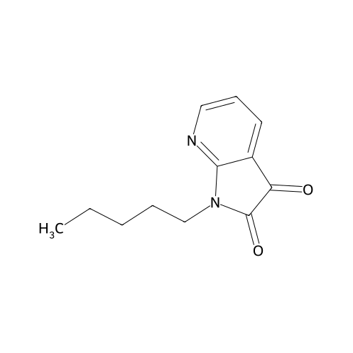 CCCCCN1C(=O)C(=O)c2cccnc21